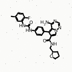 Cc1ccc(F)c(NC(=O)Nc2ccc(-c3c(C(=O)NCC4CCCO4)cn4ncnc(N)c34)cc2)c1